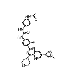 CC(=O)Nc1ccc(NC(=O)Nc2ccc(-c3nc(N4CCOCC4)c4ncc(-c5cnn(C)c5)cc4n3)c(F)c2)cc1